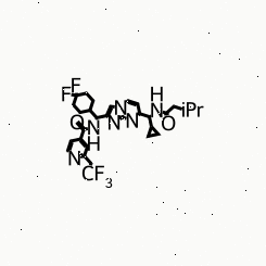 CC(C)CC(=O)N[C@H](c1ccn2cc([C@@H](NC(=O)c3ccnc(CC(F)(F)F)c3)C3CCC(F)(F)CC3)nc2n1)C1CC1